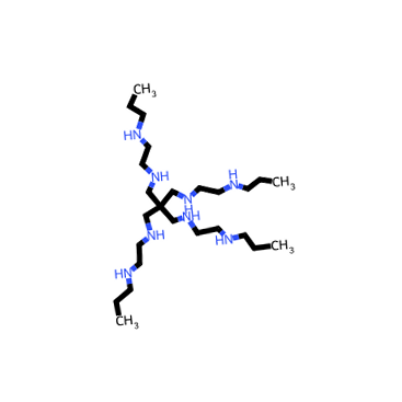 CCCNCCNCC(CNCCNCCC)(CNCCNCCC)CNCCNCCC